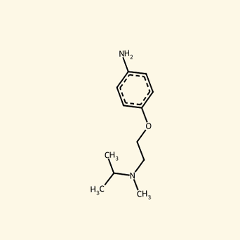 CC(C)N(C)CCOc1ccc(N)cc1